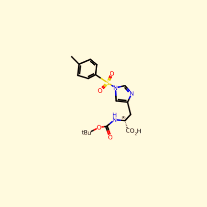 Cc1ccc(S(=O)(=O)n2cnc(C[C@@H](NC(=O)OC(C)(C)C)C(=O)O)c2)cc1